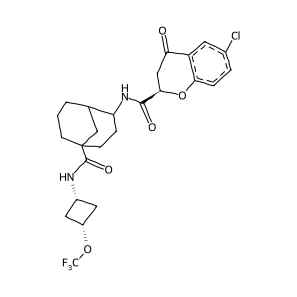 O=C1C[C@H](C(=O)NC2CCC3(C(=O)N[C@H]4C[C@@H](OC(F)(F)F)C4)CCCC2C3)Oc2ccc(Cl)cc21